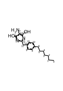 CCCCCCCc1ccc(Cc2nc(O)c(N)c(O)n2)cc1